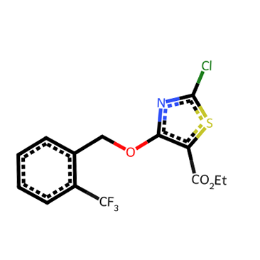 CCOC(=O)c1sc(Cl)nc1OCc1ccccc1C(F)(F)F